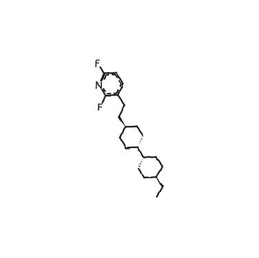 CC[C@H]1CC[C@H]([C@H]2CC[C@H](CCc3ccc(F)nc3F)CC2)CC1